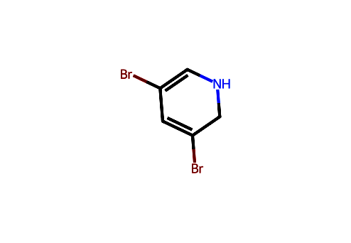 BrC1=CNCC(Br)=C1